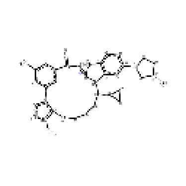 Cc1cc2cc(n1)-c1cnn(C)c1OCCCC(C1CC1)N1/C(=N/C2=O)Nc2ccc(N3CC[C@H](O)C3)cc21